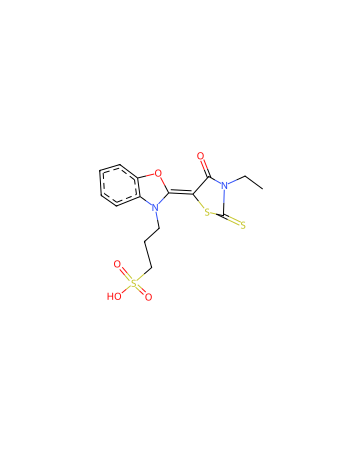 CCN1C(=O)C(=C2Oc3ccccc3N2CCCS(=O)(=O)O)SC1=S